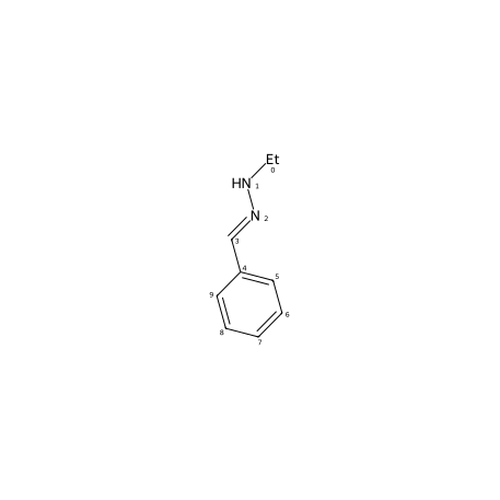 CCN/N=C/c1ccccc1